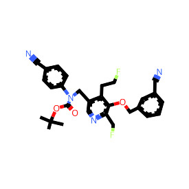 CC(C)(C)OC(=O)N(Cc1cnc(CF)c(OCc2cccc(C#N)c2)c1CCF)c1ccc(C#N)cc1